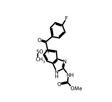 COC(=O)Nc1nc2cc(C(=O)c3ccc(F)cc3)ccc2[nH]1.CS(=O)(=O)O